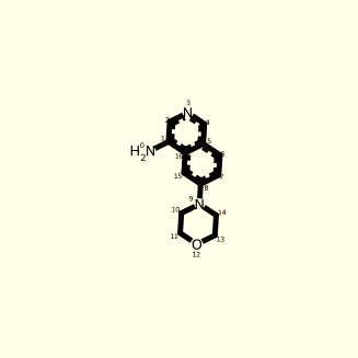 Nc1cncc2ccc(N3CCOCC3)cc12